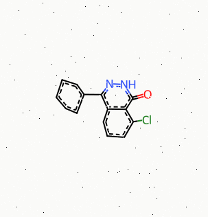 O=c1[nH]nc(-c2ccccc2)c2cccc(Cl)c12